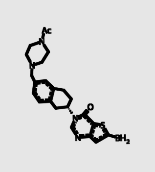 Bc1cc2ncn([C@H]3CCc4cc(CN5CCN(C(C)=O)CC5)ccc4C3)c(=O)c2s1